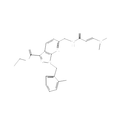 CCOC(=O)c1nn(Cc2ccccc2F)c2nc(CNC(=O)/C=C/N(C)C)ccc12